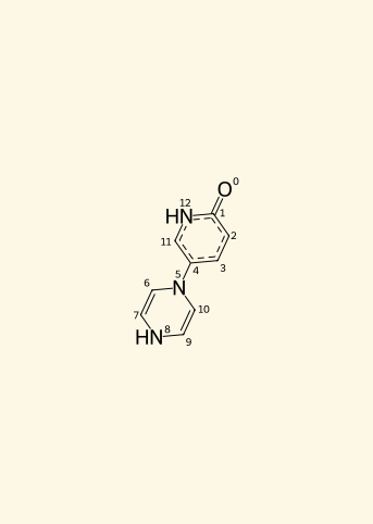 O=c1ccc(N2C=CNC=C2)c[nH]1